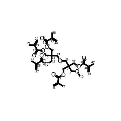 C=C(C)C(=O)OCC(COC)(COCC(COC(=O)C(=C)C)(COC(=O)C(=C)C)COC(=O)C(=C)C)COC(=O)C(=C)C